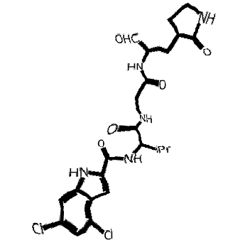 CC(C)C(NC(=O)c1cc2c(Cl)cc(Cl)cc2[nH]1)C(=O)NCC(=O)NC(C=O)CC1CCNC1=O